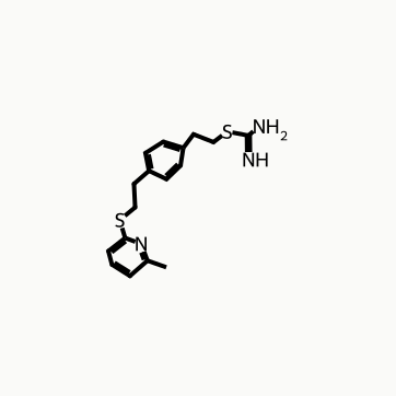 Cc1cccc(SCCc2ccc(CCSC(=N)N)cc2)n1